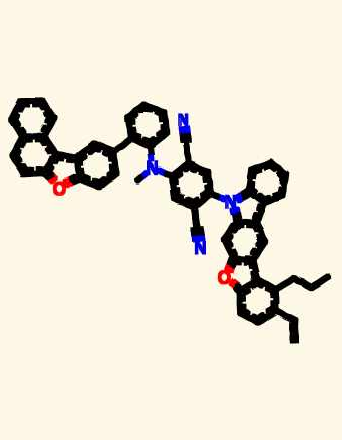 C=Cc1ccc2oc3cc4c(cc3c2c1CCC)c1ccccc1n4-c1cc(C#N)c(N(C)c2ccccc2-c2ccc3oc4ccc5ccccc5c4c3c2)cc1C#N